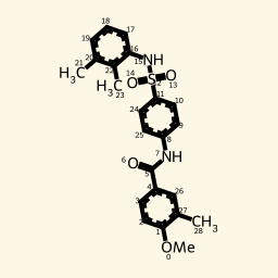 COc1ccc(C(=O)Nc2ccc(S(=O)(=O)Nc3cccc(C)c3C)cc2)cc1C